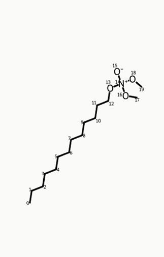 CCCCCCCCCCCCCO[N+]([O-])(OC)OC